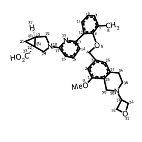 COc1cc(COc2c(C)cccc2-c2cccc(N3C[C@@H]4C[C@]4(C(=O)O)C3)n2)cc2c1CN(C1COC1)CC2